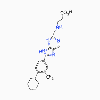 O=C(O)CCNCc1ncc2nc(-c3ccc(C4CCCCC4)c(C(F)(F)F)c3)[nH]c2n1